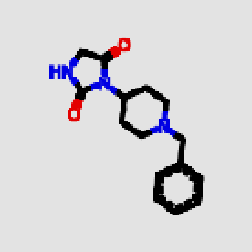 O=C1CNC(=O)N1C1CCN(Cc2ccccc2)CC1